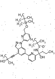 CCC[C@@](O)(N[S@+]([O-])C(C)(C)C)c1cccc(-c2cc(C#CC(C)(C)O)c3cnn(-c4cccc(CO[Si](C)(C)C(C)(C)C)n4)c3c2)n1